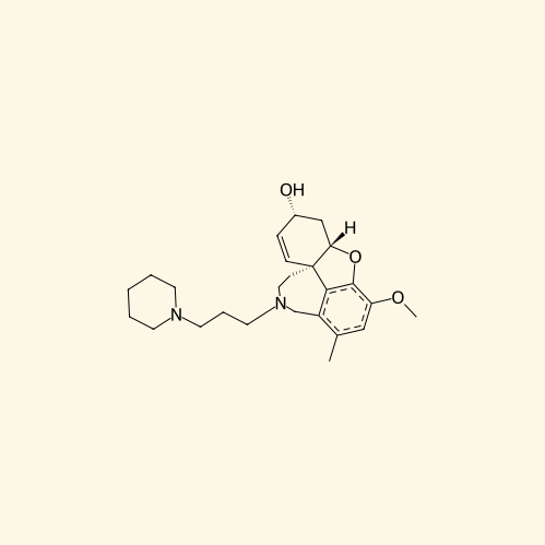 COc1cc(C)c2c3c1O[C@H]1C[C@@H](O)C=C[C@]31CCN(CCCN1CCCCC1)C2